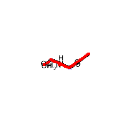 CCCCCCCCCCCCCCOC(=O)CCCCCCC/C=C\CCCCCCCCNC(CN)CCCCCCCC/C=C\CCCCCCCC(=O)O